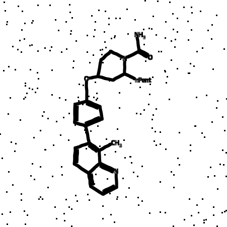 CCCCCC1CC(Oc2ccc(-c3ccc4cccnc4c3C)cc2)CCN1C(N)=O